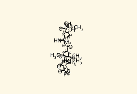 CCOc1cc2c(cc1C(=O)NC)C(=N)N(CC(=O)c1cc(OC)c(N(C)CC(=O)OC(=O)C(F)(F)F)c(C(C)(C)C)c1)C2